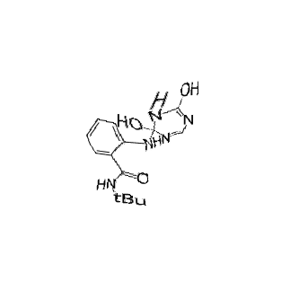 CC(C)(C)NC(=O)c1ccccc1NC1(O)N=CN=C(O)N1